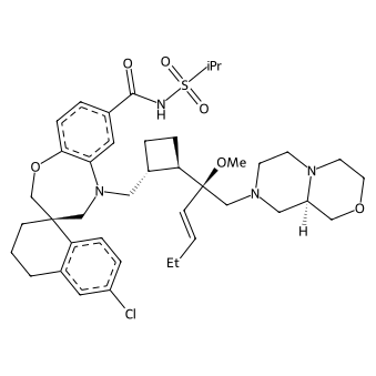 CC/C=C/[C@](CN1CCN2CCOC[C@H]2C1)(OC)[C@@H]1CC[C@H]1CN1C[C@@]2(CCCc3cc(Cl)ccc32)COc2ccc(C(=O)NS(=O)(=O)C(C)C)cc21